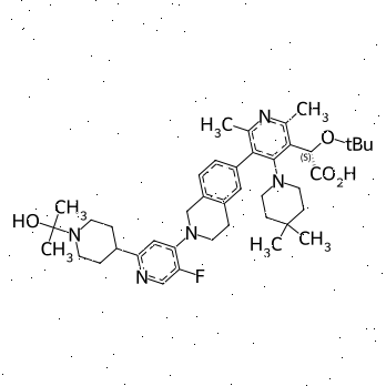 Cc1nc(C)c([C@H](OC(C)(C)C)C(=O)O)c(N2CCC(C)(C)CC2)c1-c1ccc2c(c1)CCN(c1cc(C3CCN(C(C)(C)O)CC3)ncc1F)C2